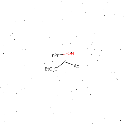 CCCO.CCOC(=O)CC(C)=O